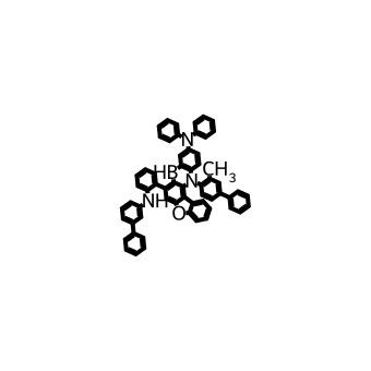 Cc1cc(-c2ccccc2)ccc1N1c2ccc(N(c3ccccc3)c3ccccc3)cc2Bc2c(-c3ccccc3Nc3cccc(-c4ccccc4)c3)cc3oc4ccccc4c3c21